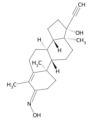 C#C[C@]1(O)CC[C@H]2[C@@H]3CCC4=C(C)/C(=N/O)CC[C@]4(C)[C@H]3CC[C@@]21C